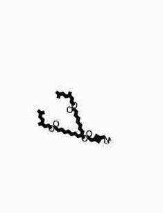 CC(C)CCC(C)CCOC(=O)CCCCCCCC(CCCCCCCC(=O)OCCC(C)CCC(C)C)OC(=O)CC1CC(CN(C)C)C1